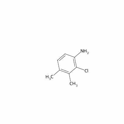 Cc1ccc(N)c(Cl)c1C